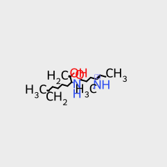 C=C(C)CCCCC(NC(=O)CC/C(=C/CC)NC)C(=C)O